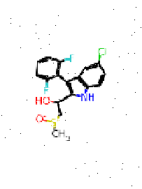 C[S+]([O-])CC(O)c1[nH]c2ccc(Cl)cc2c1-c1c(F)cccc1F